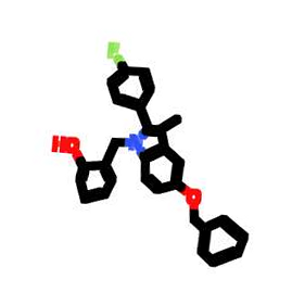 Cc1c(-c2ccc(F)cc2)n(Cc2ccccc2O)c2ccc(OCc3ccccc3)cc12